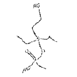 CCS(CC)(CCO)OP(C)(=O)O